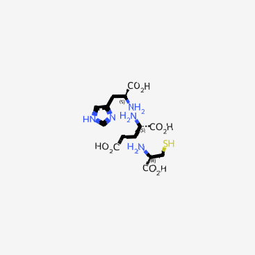 N[C@@H](CCC(=O)O)C(=O)O.N[C@@H](CS)C(=O)O.N[C@@H](Cc1c[nH]cn1)C(=O)O